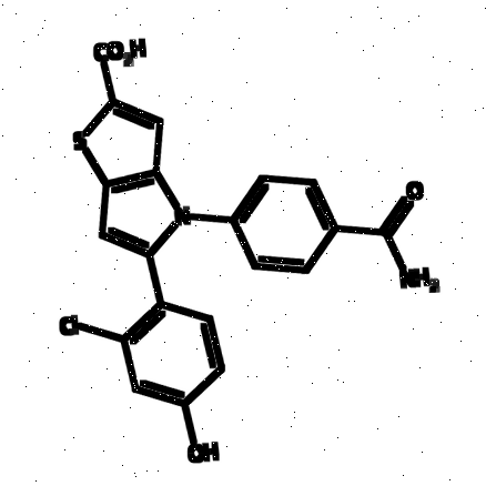 NC(=O)c1ccc(-n2c(-c3ccc(O)cc3Cl)cc3sc(C(=O)O)cc32)cc1